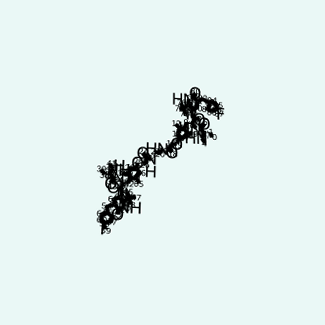 CC[C@H](NC)C(=O)N[C@@H](Cc1c(C)cc(OCC(=O)NCCNC(=O)COc2cc(C)c(C[C@H](NC(=O)[C@H](CC)NC)C(=O)N3CC(C)(C)c4[nH]c(=O)c(Cc5ccc(F)cc5)cc43)c(C)c2)cc1C)C(=O)N1CC(C)(C)c2[nH]c(=O)c(Cc3ccc(F)cc3)cc21